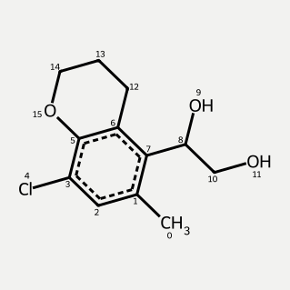 Cc1cc(Cl)c2c(c1C(O)CO)CCCO2